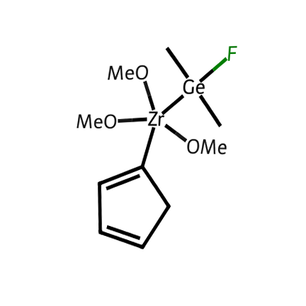 C[O][Zr]([O]C)([O]C)([C]1=CC=CC1)[Ge]([CH3])([CH3])[F]